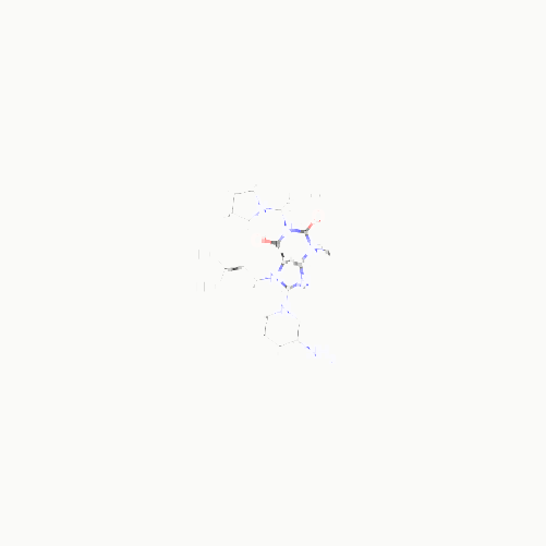 CC(C)=CCn1c(N2CCCC(N)C2)nc2c1c(=O)n(C(C=O)N1CCCC1)c(=O)n2C